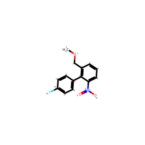 COCc1cccc([N+](=O)[O-])c1-c1ccc(F)cc1